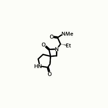 CC[C@@H](C(=O)NC)N1CC2(CCNC(=O)C2)C1=O